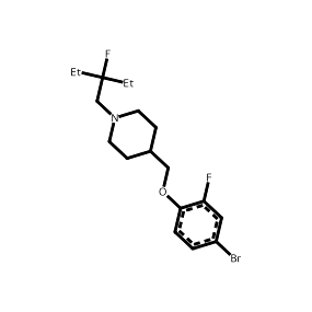 CCC(F)(CC)CN1CCC(COc2ccc(Br)cc2F)CC1